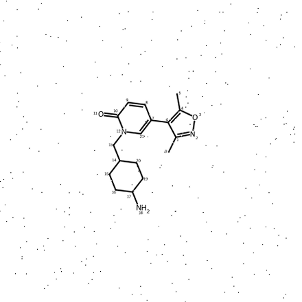 Cc1noc(C)c1-c1ccc(=O)n(CC2CCC(N)CC2)c1